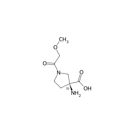 COCC(=O)N1CC[C@@](N)(C(=O)O)C1